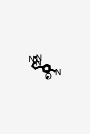 COc1cc(C2CCc3ncnn32)ccc1C#N